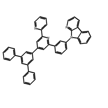 c1ccc(-c2cc(-c3ccccc3)cc(-c3cc(-c4cccc(-n5c6ccccc6c6cccnc65)c4)nc(-c4ccccn4)c3)c2)cc1